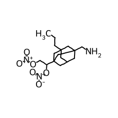 CCCC12CC3CC(CN)(C1)CC(C(CO[N+](=O)[O-])O[N+](=O)[O-])(C3)C2